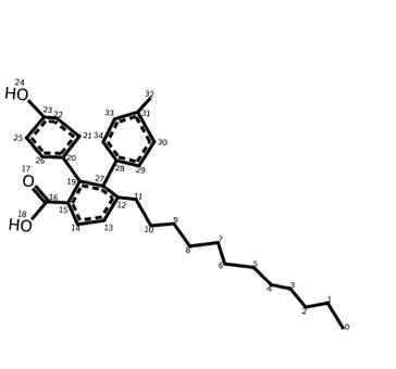 CCCCCCCCCCCCc1ccc(C(=O)O)c(-c2ccc(O)cc2)c1-c1ccc(C)cc1